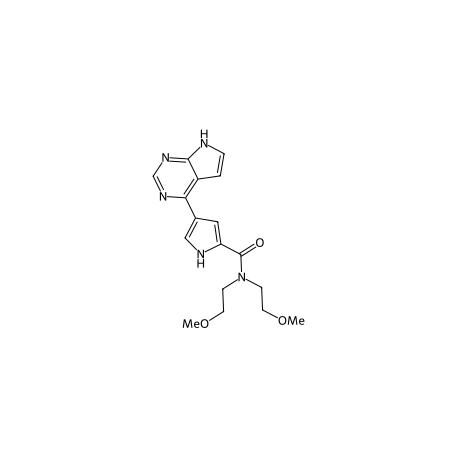 COCCN(CCOC)C(=O)c1cc(-c2ncnc3[nH]ccc23)c[nH]1